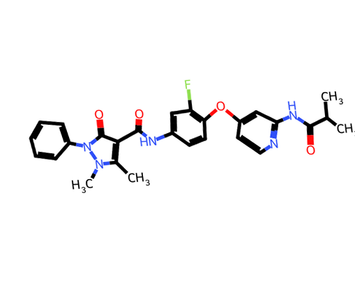 Cc1c(C(=O)Nc2ccc(Oc3ccnc(NC(=O)C(C)C)c3)c(F)c2)c(=O)n(-c2ccccc2)n1C